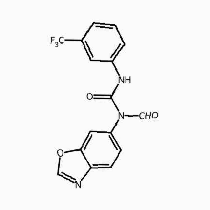 O=CN(C(=O)Nc1cccc(C(F)(F)F)c1)c1ccc2ncoc2c1